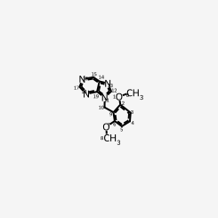 COc1cccc(OC)c1Cn1cnc2cncnc21